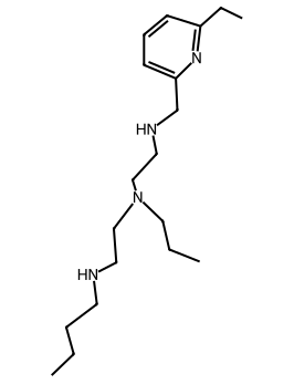 CCCCNCCN(CCC)CCNCc1cccc(CC)n1